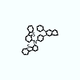 c1ccc(-c2cc3ccccc3cc2-c2ccc(N(c3cccc4c3sc3ccccc34)c3cccc4c3sc3ccccc34)cc2)cc1